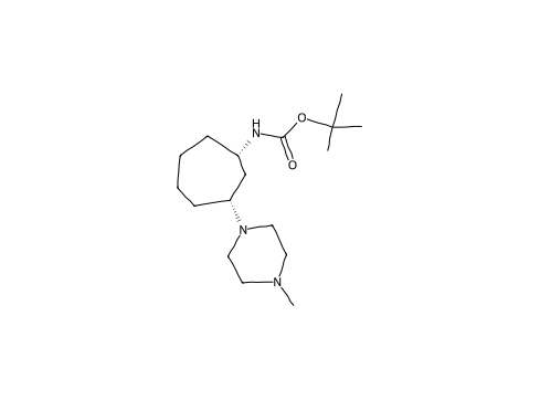 CN1CCN([C@@H]2CCCC[C@H](NC(=O)OC(C)(C)C)C2)CC1